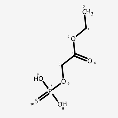 CCOC(=O)COP(O)(O)=S